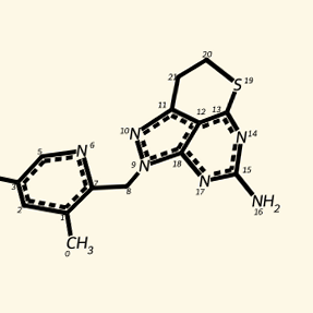 Cc1cc(Br)cnc1Cn1nc2c3c(nc(N)nc31)SCC2